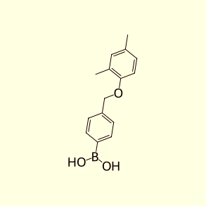 Cc1ccc(OCc2ccc(B(O)O)cc2)c(C)c1